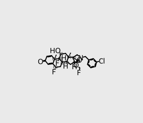 C[C@]12C=CC(=O)C=C1[C@@H](F)C[C@H]1[C@@H]3C[C@H]4CN(Cc5cccc(Cl)c5)C[C@@]4(C(=O)OCF)[C@@]3(C)C[C@H](O)[C@@]12F